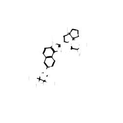 CC(C)[C@H](C)C(=O)N1[C@H](c2nc3c(ccc4cc(B5OC(C)(C)C(C)(C)O5)ccc43)[nH]2)C[C@@H]2CCC[C@@H]21